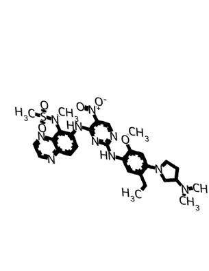 CCc1cc(Nc2ncc([N+](=O)[O-])c(Nc3ccc4nccnc4c3N(C)S(C)(=O)=O)n2)c(OC)cc1N1CCC(N(C)C)C1